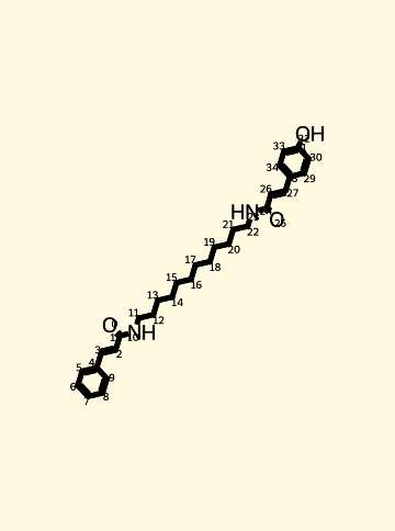 O=C(C=Cc1ccccc1)NCCCCCCCCCCCCNC(=O)C=Cc1ccc(O)cc1